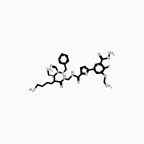 CCCCCC(C(=O)NCNC(=O)c1ccc(-c2cc(OCC)c(F)c(C(=O)OC)c2)o1)[C@@H](CC)N(C=O)OCc1ccccc1